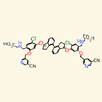 N#Cc1cncc(COc2cc(O[C@H]3CCc4c(-c5cccc6c5CC[C@@H]6Oc5cc(OCc6cncc(C#N)c6)c(CNCC(=O)O)cc5Cl)cccc43)c(Cl)cc2CNCC(=O)O)c1